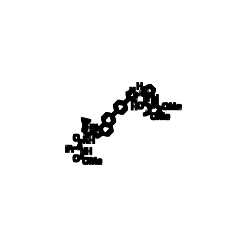 COC(=O)N[C@H](C(=O)N[C@@H](CC1CC1)c1cc2ccc3cc(-c4ccc(-c5cnc([C@@H]6[C@H]7CC[C@H](C7)N6C(=O)[C@@H](NC(=O)OC)[C@@H](C)OC)[nH]5)cc4)ccc3c2[nH]1)C(C)C